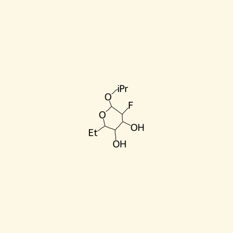 CCC1OC(OC(C)C)C(F)C(O)C1O